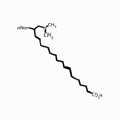 CCCCCCCCCC(CCCCCCCCC=CCCCCCC(=O)O)CN(C)C